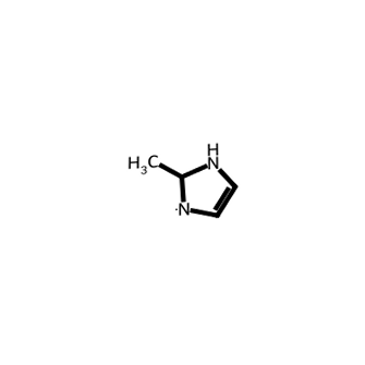 CC1[N]C=CN1